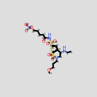 CCN[C@H]1CN(CCCOC)S(=O)(=O)c2sc(S(=O)(=O)NC(=O)CCCCO[N+](=O)[O-])cc21